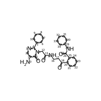 Nc1cnc(-c2ccccc2)n(CC(=O)NCCC(=O)c2ccccc2C(=O)Nc2ccccc2)c1=O